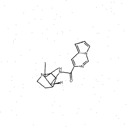 CC1(C)[C@H](NC(=O)c2cc3cccn3cn2)C2CCN1CC2